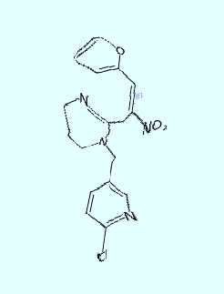 O=[N+]([O-])/C(=C/c1ccco1)C1=NCCCN1Cc1ccc(Cl)nc1